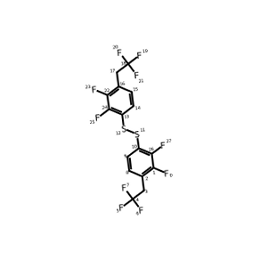 Fc1c(CC(F)(F)F)ccc(SSc2ccc(CC(F)(F)F)c(F)c2F)c1F